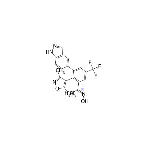 Cc1noc(C)c1-c1c(/C(N)=N/O)cc(C(F)(F)F)cc1-c1ccc2[nH]ncc2c1